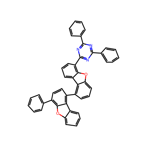 c1ccc(-c2nc(-c3ccccc3)nc(-c3cccc4c3oc3cccc(-c5ccc(-c6ccccc6)c6oc7ccccc7c56)c34)n2)cc1